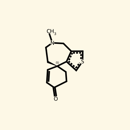 CN1CC[C@@]2(C=CC(=O)CC2)c2cscc2C1